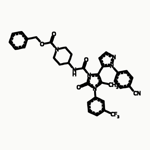 Cc1c(-c2ccnn2-c2ccc(C#N)cc2)n(C(=O)NC2CCN(C(=O)OCc3ccccc3)CC2)c(=O)n1-c1cccc(C(F)(F)F)c1